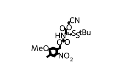 COc1cc(COC(=O)N[C@@H](CSSC(C)(C)C)C(=O)OCC#N)c([N+](=O)[O-])cc1C